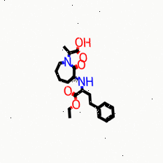 CCOC(=O)C(CCc1ccccc1)N[C@H]1CCCCN(C(C)C(=O)O)C1=O